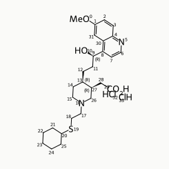 COc1ccc2nccc([C@H](O)CC[C@@H]3CCN(CCSC4CCCCC4)C[C@@H]3CC(=O)O)c2c1.Cl.Cl